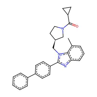 Cc1cccc2nc(-c3ccc(-c4ccccc4)cc3)n(C[C@H]3CCN(C(=O)C4CC4)C3)c12